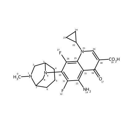 CN1CC2CCCC1CN2c1c(F)c(N)c2c(=O)c(C(=O)O)cn(C3CC3)c2c1F